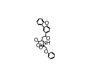 O=C(COc1ccccc1)NC(CC(=O)c1ccc2oc3ccccc3c2c1)C(=O)O